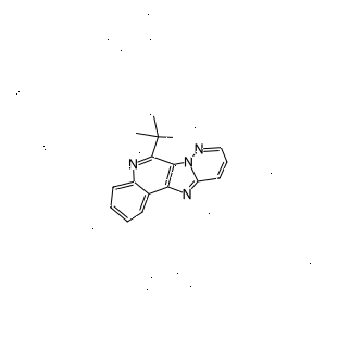 CC(C)(C)c1nc2ccccc2c2nc3cccnn3c12